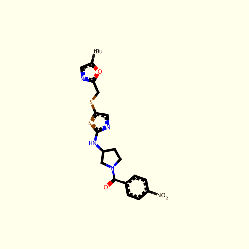 CC(C)(C)c1cnc(CSc2cnc(NC3CCN(C(=O)c4ccc([N+](=O)[O-])cc4)C3)s2)o1